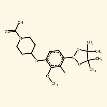 COc1c(OC2CCN(C(=O)O)CC2)ccc(B2OC(C)(C)C(C)(C)O2)c1F